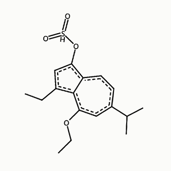 CCOc1cc(C(C)C)ccc2c(O[SH](=O)=O)cc(CC)c1-2